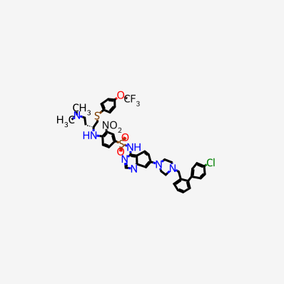 CN(C)CC[C@H](CSc1ccc(OC(F)(F)F)cc1)Nc1ccc(S(=O)(=O)Nc2ncnc3cc(N4CCN(Cc5ccccc5-c5ccc(Cl)cc5)CC4)ccc23)cc1[N+](=O)[O-]